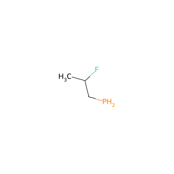 CC(F)CP